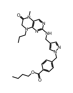 CCCCOC(=O)c1ccc(Cn2cc(CNc3ncc4c(n3)N(CCC)CC(=O)N4C)cn2)cc1